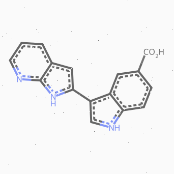 O=C(O)c1ccc2[nH]cc(-c3cc4cccnc4[nH]3)c2c1